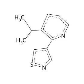 CC(C)c1cccnc1-c1cnsc1